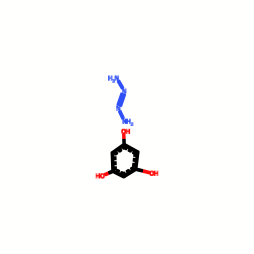 NN=NN.Oc1cc(O)cc(O)c1